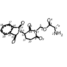 C[C@H](N)C(=O)OCN1C(=O)CCC(N2C(=O)c3ccccc3C2=O)C1=O